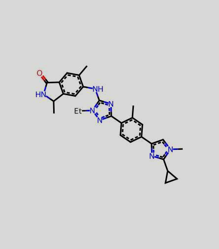 CCn1nc(-c2ccc(-c3cn(C)c(C4CC4)n3)cc2C)nc1Nc1cc2c(cc1C)C(=O)NC2C